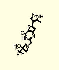 Cc1[nH]ncc1-c1cc2nc(CN3CCC(O)(C(F)(F)F)C3)[nH]c(=O)c2s1